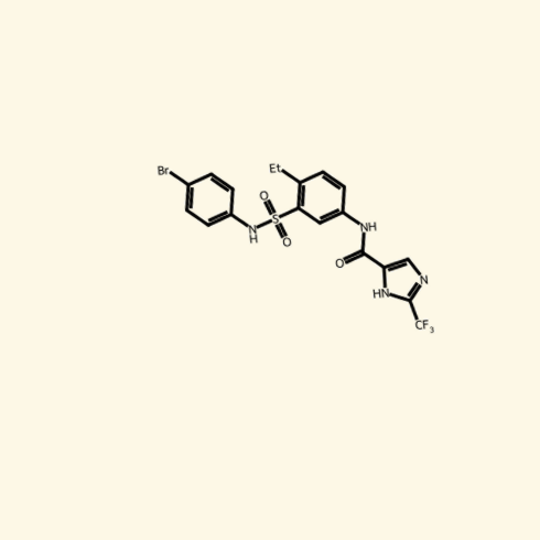 CCc1ccc(NC(=O)c2cnc(C(F)(F)F)[nH]2)cc1S(=O)(=O)Nc1ccc(Br)cc1